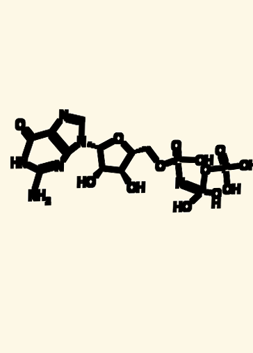 Nc1nc2c(ncn2[C@@H]2O[C@H](COP(=O)(O)N=P(O)(O)OP(=O)(O)O)[C@@H](O)[C@H]2O)c(=O)[nH]1